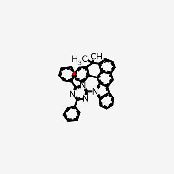 CC1(C)c2ccccc2-c2c3c1cccc3cc1c3ccccc3n(-c3nc(-c4ccccc4)nc(-c4ccccc4)n3)c21